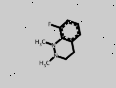 CN1CCc2cccc(F)c2N1C